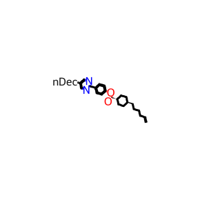 C=CCCCC[C@H]1CC[C@H](C(=O)Oc2ccc(-c3ncc(CCCCCCCCCC)cn3)cc2)CC1